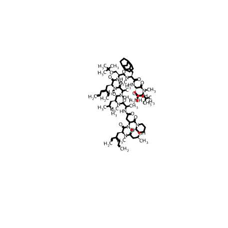 C=C/C=C(\C=C)C[C@@H](C(=O)N(C)C(CC(=O)NC(C)C(=O)N(C)[C@@H](CC(C)C)C(=O)N(C)C(C)C(=O)N(C)[C@@H](C/C(C=C)=C/C=C)C(=O)N[C@@H](COC(C)(C)C)C(=O)N(C)[C@@H](CC1C2=C3CCC(=C1CC2)C3)C(=O)N[C@@H](CC(C)C)C(=O)N(C)C(C(N)=O)C(C)C)C(=O)N1CCCCC1)N(C)C(=O)C[C@@H](C)O